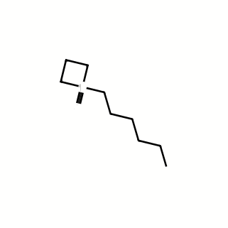 CCCCCCP1(=O)CCC1